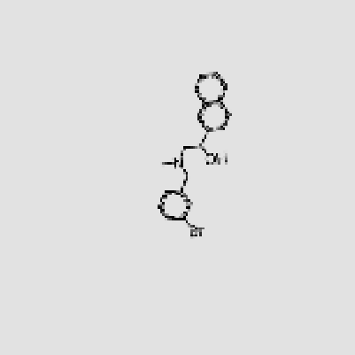 CN(Cc1cccc(Br)c1)CC(O)c1ccc2ccccc2c1